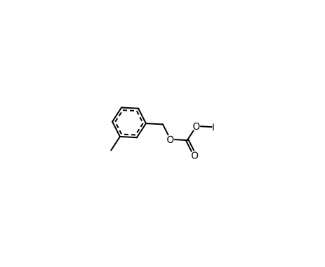 Cc1cccc(COC(=O)OI)c1